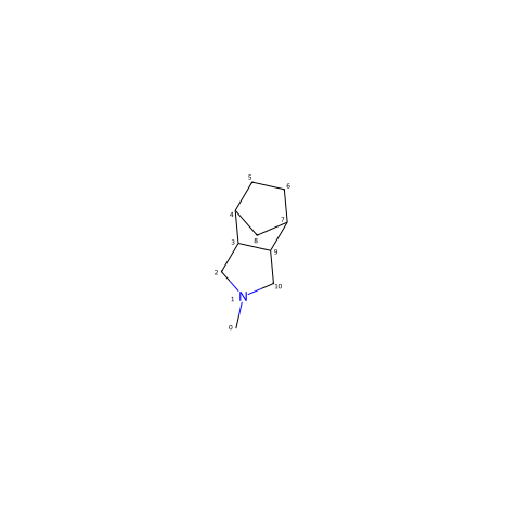 CN1CC2C3CCC(C3)C2C1